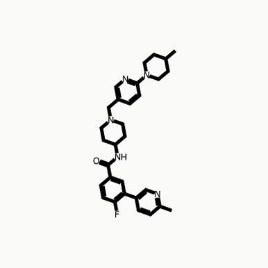 Cc1ccc(-c2cc(C(=O)NC3CCN(Cc4ccc(N5CCC(C)CC5)nc4)CC3)ccc2F)cn1